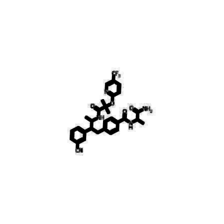 CC(NC(=O)c1ccc(CC(c2cccc(C#N)c2)C(C)NC(=O)C(C)(C)Oc2ccc(C(F)(F)F)cn2)cc1)C(N)=O